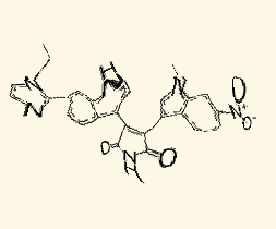 CCn1ccnc1-c1ccc2c(C3=C(c4cn(C)c5cc([N+](=O)[O-])ccc45)C(=O)NC3=O)c[nH]c2c1